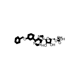 O=P(O)(O)OC[C@H]1O[C@@H](n2cnc3c(-c4cccc(OCc5ccccc5)c4)ncnc32)[C@H](O)[C@H]1O